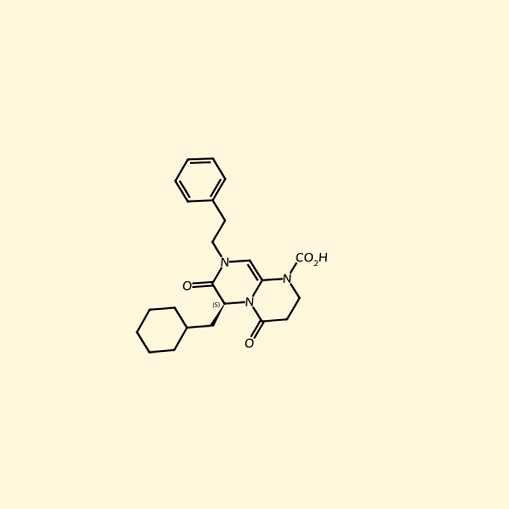 O=C1[C@H](CC2CCCCC2)N2C(=O)CCN(C(=O)O)C2=CN1CCc1ccccc1